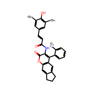 Cc1ccccc1-c1c(NC(=O)/C=C/c2cc(C(C)(C)C)c(O)c(C(C)(C)C)c2)c(=O)oc2cc3c(cc12)CCC3